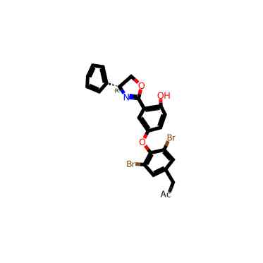 CC(=O)Cc1cc(Br)c(Oc2ccc(O)c(C3=N[C@H](c4ccccc4)CO3)c2)c(Br)c1